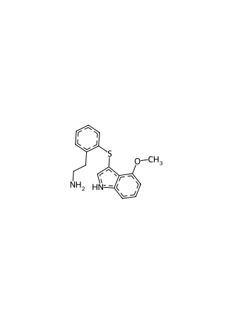 COc1cccc2[nH]cc(Sc3ccccc3CCN)c12